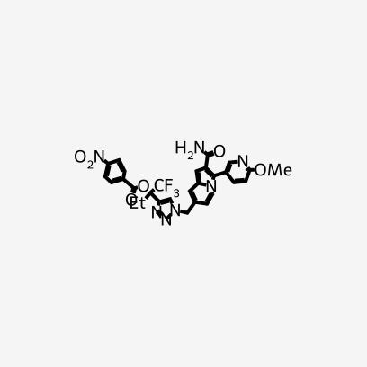 CCC(OC(=O)c1ccc([N+](=O)[O-])cc1)(c1cn(Cc2ccn3c(-c4ccc(OC)nc4)c(C(N)=O)cc3c2)nn1)C(F)(F)F